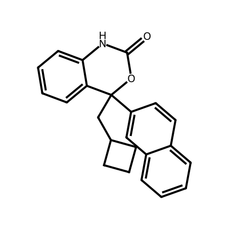 O=C1Nc2ccccc2C(CC2CCC2)(c2ccc3ccccc3c2)O1